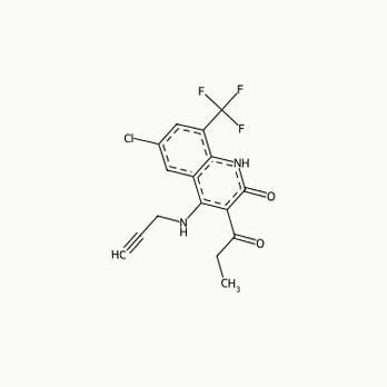 C#CCNc1c(C(=O)CC)c(=O)[nH]c2c(C(F)(F)F)cc(Cl)cc12